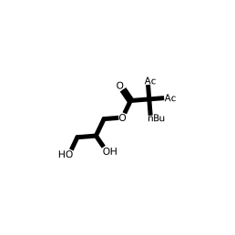 CCCCC(C(C)=O)(C(C)=O)C(=O)OCC(O)CO